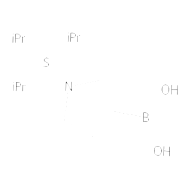 CC(C)S(C(C)C)(C(C)C)n1ccc(B(O)O)c1